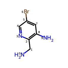 NCc1ncc(Br)cc1N